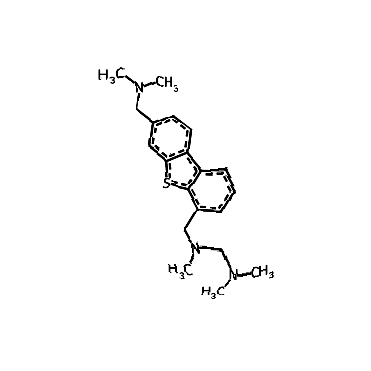 CN(C)Cc1ccc2c(c1)sc1c(CN(C)CN(C)C)cccc12